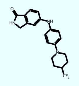 O=C1NCc2cc(Nc3ccc(N4CCC(C(F)(F)F)CC4)cc3)ccc21